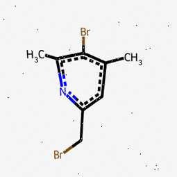 Cc1cc(CBr)nc(C)c1Br